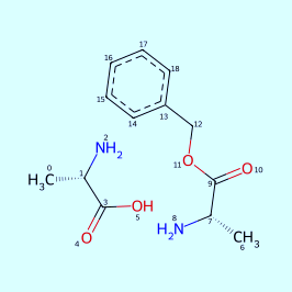 C[C@H](N)C(=O)O.C[C@H](N)C(=O)OCc1ccccc1